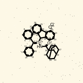 O=C([NH][Ti+2](=[C](c1ccccc1)c1ccccc1)[CH]1c2ccccc2-c2ccccc21)C12CC3CC(CC(C3)C1)C2.[Cl-].[Cl-]